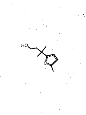 Cc1ccc(C(C)(C)CCO)o1